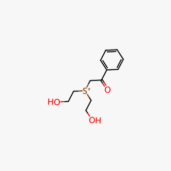 O=C(C[S+](CCO)CCO)c1ccccc1